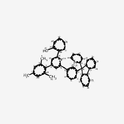 Cc1cc(C)c(-c2cc(-c3cccc(C4(c5ccccn5)c5ccccc5-c5ccccc54)c3)nc(-c3ccccc3O)c2)c(C)c1